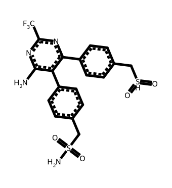 Nc1nc(C(F)(F)F)nc(-c2ccc(C[SH](=O)=O)cc2)c1-c1ccc(CS(N)(=O)=O)cc1